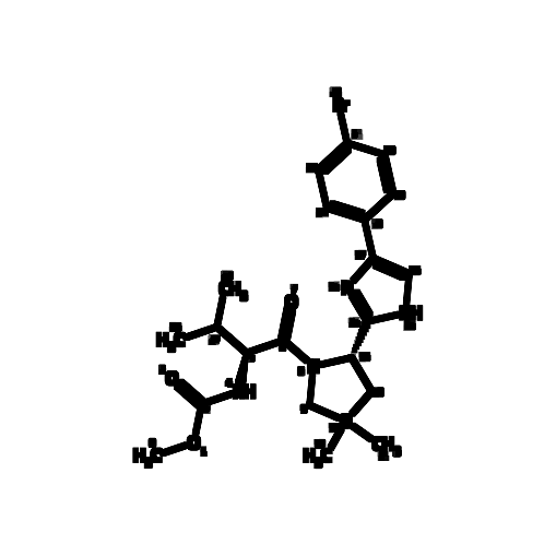 COC(=O)N[C@H](C(=O)N1C[Si](C)(C)C[C@H]1c1nc(-c2ccc(Br)cc2)c[nH]1)C(C)C